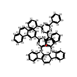 C1=CC2c3ccccc3N(c3ccc(-c4nc(-c5ccccc5)nc(-c5ccccc5)n4)cc3)C2c2c1c1ccccc1n2-c1nc(-c2ccccc2)nc(-c2ccc3ccc4ccccc4c3c2)n1